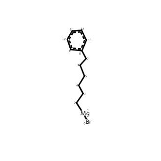 [Br][Mg][CH2]CCCCCc1ccccc1